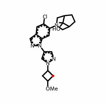 COC12CC(n3cc(-n4ncc5cc(Cl)c(N6CC7CCC(C6)C7(C)O)cc54)cn3)(C1)C2